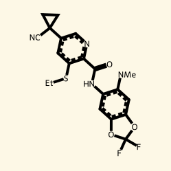 CCSc1cc(C2(C#N)CC2)cnc1C(=O)Nc1cc2c(cc1NC)OC(F)(F)O2